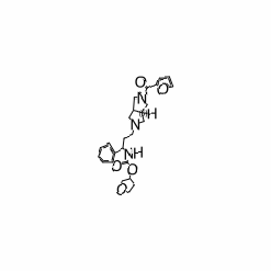 O=C(NC(CCN1CC2CN(C(=O)c3ccco3)C[C@@H]2C1)c1ccccc1)OC1CCOC1